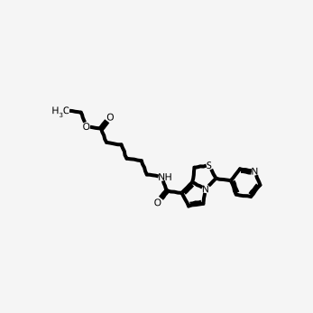 CCOC(=O)CCCCCNC(=O)c1ccn2c1CSC2c1cccnc1